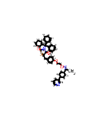 CC(=NOCCOc1ccc(CC2SC(=O)N(C(c3ccccc3)(c3ccccc3)c3ccccc3)C2=O)cc1)c1ccc(-c2cccnc2)cc1